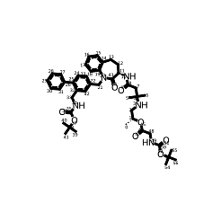 C[C@H](CNC(C)(C)CC(=O)N[C@@H]1CCc2ccccc2N(Cc2ccc(-c3ccccc3)c(CNC(=O)OC(C)(C)C)c2)C1=O)OC(=O)CNC(=O)OC(C)(C)C